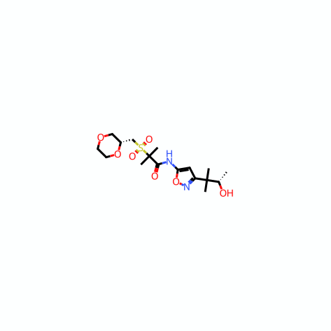 C[C@H](O)C(C)(C)c1cc(NC(=O)C(C)(C)S(=O)(=O)C[C@H]2COCCO2)on1